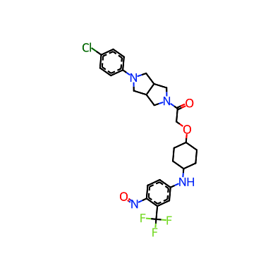 O=Nc1ccc(NC2CCC(OCC(=O)N3CC4CN(c5ccc(Cl)cc5)CC4C3)CC2)cc1C(F)(F)F